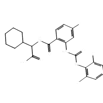 O=C(Nc1cc(Cl)ccc1C(=O)NC(C(=O)O)C1CCCCC1)Nc1c(Cl)cccc1Cl